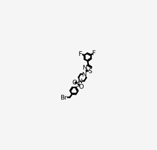 O=S(=O)(c1ccc(CBr)cc1)N1CCN(c2nc(-c3cc(F)cc(F)c3)cs2)CC1